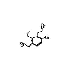 BrCCc1c(Br)ccc(CBr)c1CBr